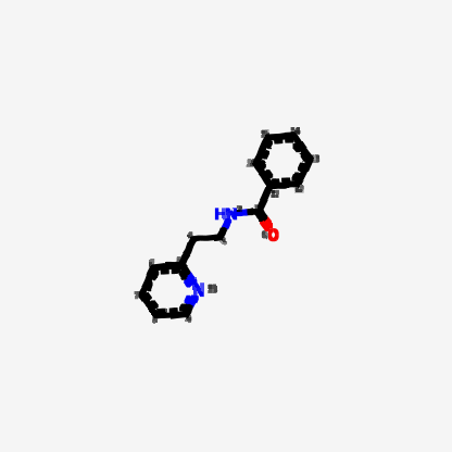 O=C(NCCc1ccccn1)c1ccccc1